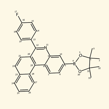 CC1(C)OB(c2ccc3c(c2)nc(-c2ccc(F)cc2)c2ccc4ccccc4c23)OC1(C)C